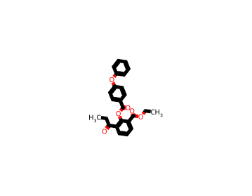 CCOC(=O)c1cccc(C(=O)CC)c1OC(=O)c1ccc(Oc2ccccc2)cc1